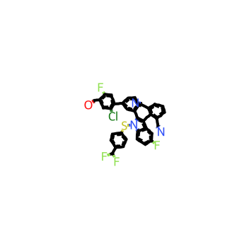 N#Cc1cccc(C#N)c1-c1c(-c2cccc(-c3cc(F)c(C=O)cc3Cl)c2)n(Sc2ccc(C(F)F)cc2)c2ccc(F)cc12